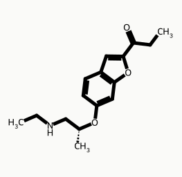 CCNC[C@@H](C)Oc1ccc2cc(C(=O)CC)oc2c1